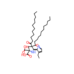 CCCCCCCCCCCC(=O)C1(C(=O)CCCCCCCCCCC)CC(C(=O)O)(C(=O)O)NC1=C1N=CC=C1CC